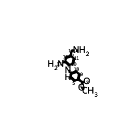 COC(=O)c1ccc(Nc2ccc(CN)cc2N)cc1